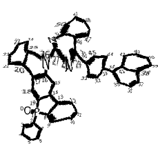 O=P1(c2ccccc2)c2ccccc2-c2cc3c(cc21)c1ccccc1n3-c1nc(-c2ccc(-c3cccc4ccccc34)cc2)c2ccccc2n1